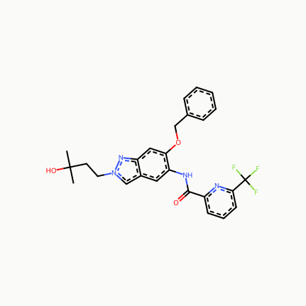 CC(C)(O)CCn1cc2cc(NC(=O)c3cccc(C(F)(F)F)n3)c(OCc3ccccc3)cc2n1